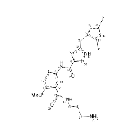 COc1ccc(NC(=O)c2cc(Cc3cc(C)sc3C)[nH]n2)cc1C(=O)NCCCN